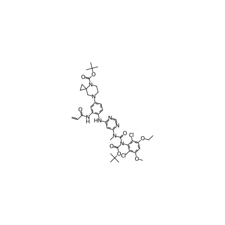 C=CC(=O)Nc1cc(N2CCN(C(=O)OC(C)(C)C)C3(CC3)C2)ccc1Nc1cc(N(C)C(=O)N(C(=O)OC(C)(C)C)c2c(Cl)c(OC)cc(OCC)c2Cl)ncn1